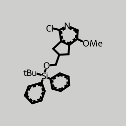 COc1cnc(Cl)c2c1CC(CO[Si](c1ccccc1)(c1ccccc1)C(C)(C)C)C2